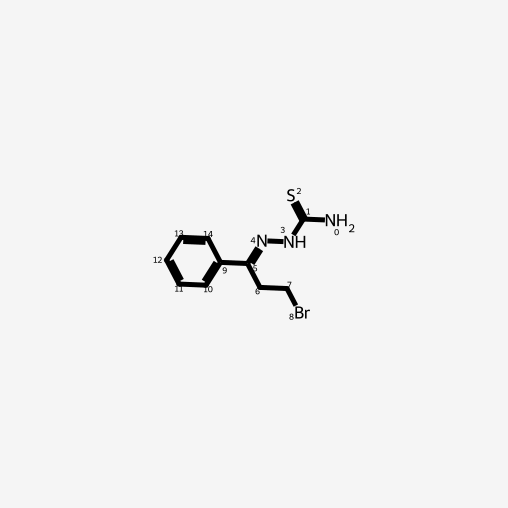 NC(=S)NN=C(CCBr)c1ccccc1